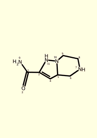 NC(=O)C1=CC2CNCCN2N1